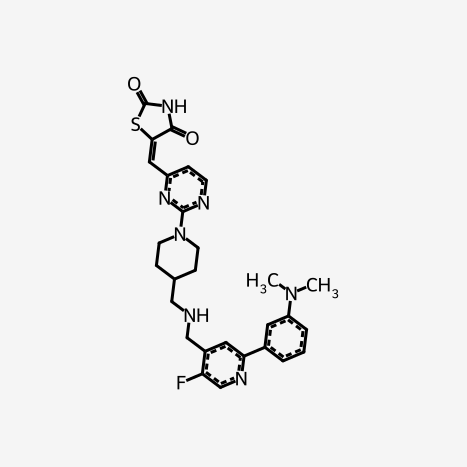 CN(C)c1cccc(-c2cc(CNCC3CCN(c4nccc(C=C5SC(=O)NC5=O)n4)CC3)c(F)cn2)c1